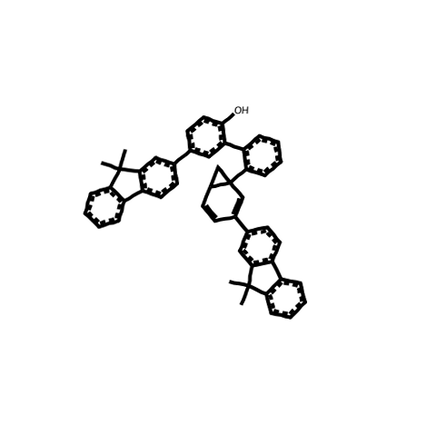 CC1(C)c2ccccc2-c2ccc(C3=CC4(c5ccccc5-c5cc(-c6ccc7c(c6)C(C)(C)c6ccccc6-7)ccc5O)CC4C=C3)cc21